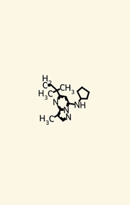 C=CC(C)(C)c1cc(NC2CCCC2)n2ncc(C)c2n1